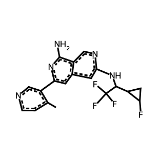 Cc1ccncc1-c1cc2cc(NC(C3CC3F)C(F)(F)F)ncc2c(N)n1